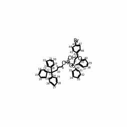 O=C(CS(OB(O)OCCCC(c1ccccc1)(c1ccccc1)c1ccccc1)(c1ccccc1)c1ccccc1)c1ccc(Br)cc1